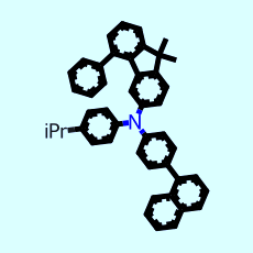 CC(C)c1ccc(N(c2ccc(-c3cccc4ccccc34)cc2)c2ccc3c(c2)-c2c(-c4ccccc4)cccc2C3(C)C)cc1